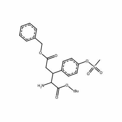 CC(C)(C)OC(=O)C(N)C(CC(=O)OCc1ccccc1)c1ccc(OS(C)(=O)=O)cc1